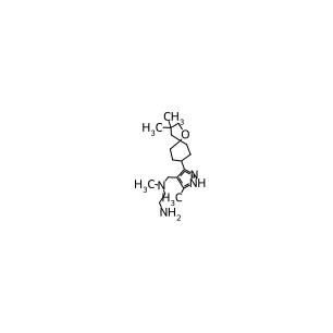 Cc1[nH]nc(C2CCC3(CC2)CC(C)(C)CO3)c1CN(C)CCN